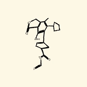 CNc1c(CC2=CCC(C(=O)OC=S)C2)c(C2CCCC2)c(C)c2c1C(=O)OC2